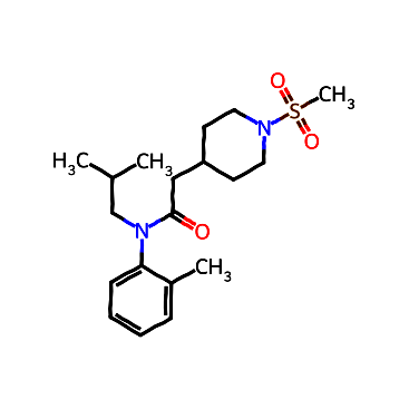 Cc1ccccc1N(CC(C)C)C(=O)CC1CCN(S(C)(=O)=O)CC1